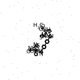 COC(=O)N[C@@H](Cc1cscn1)C(=O)N1CCC[C@H]1c1ncc(-c2ccc(-c3ccc(-c4cnc([C@@H]5CCCN5C(=O)[C@H](Cc5cscn5)OC(N)=O)[nH]4)cc3)cc2)[nH]1